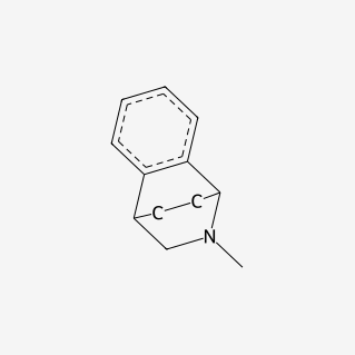 CN1CC2CCC1c1ccccc12